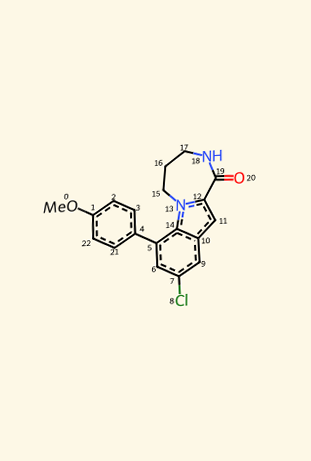 COc1ccc(-c2cc(Cl)cc3cc4n(c23)CCCNC4=O)cc1